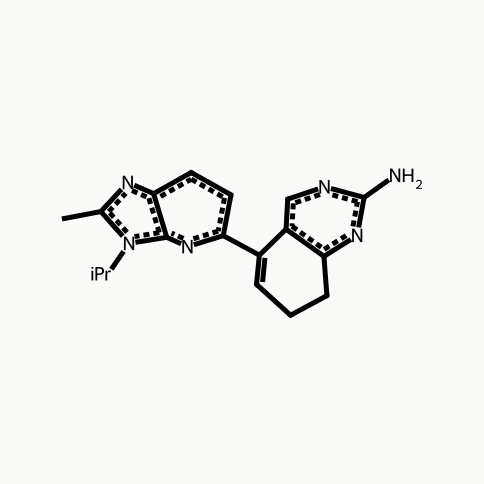 Cc1nc2ccc(C3=CCCc4nc(N)ncc43)nc2n1C(C)C